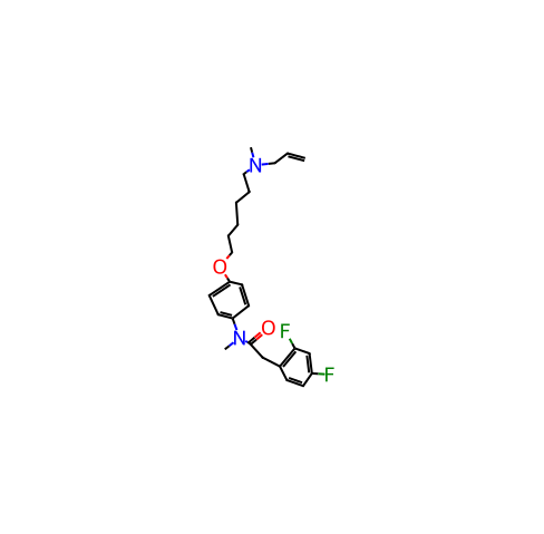 C=CCN(C)CCCCCCOc1ccc(N(C)C(=O)Cc2ccc(F)cc2F)cc1